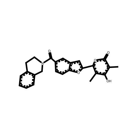 Cc1c(-c2cc3cc(C(=O)N4CCc5ccccc5C4)ccc3o2)oc(=O)c(C)c1O